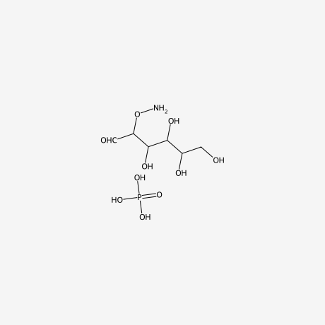 NOC(C=O)C(O)C(O)C(O)CO.O=P(O)(O)O